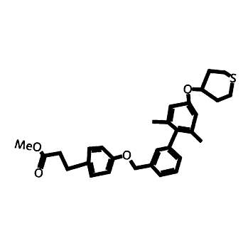 COC(=O)CCc1ccc(OCc2cccc(-c3c(C)cc(OC4CCSCC4)cc3C)c2)cc1